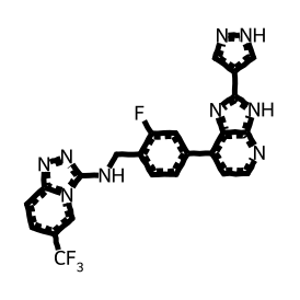 Fc1cc(-c2ccnc3[nH]c(-c4cn[nH]c4)nc23)ccc1CNc1nnc2ccc(C(F)(F)F)cn12